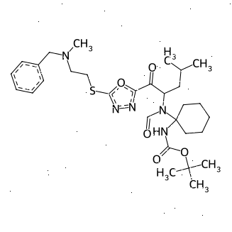 CC(C)CC(C(=O)c1nnc(SCCN(C)Cc2ccccc2)o1)N(C=O)C1(NC(=O)OC(C)(C)C)CCCCC1